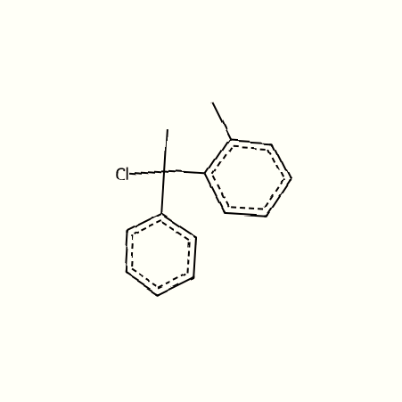 Cc1ccccc1C(C)(Cl)c1ccccc1